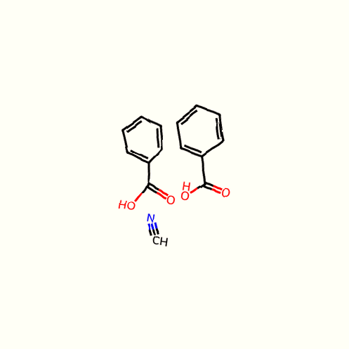 C#N.O=C(O)c1ccccc1.O=C(O)c1ccccc1